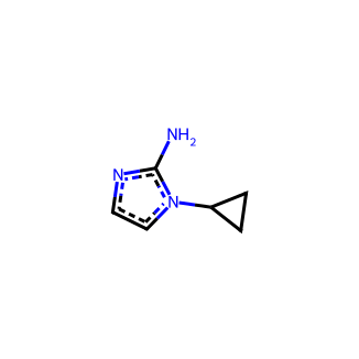 Nc1nccn1C1CC1